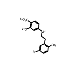 O=C(O)c1ccc(NCCc2cc(Br)ccc2O)cc1O